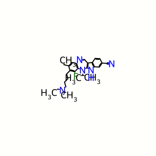 CCc1cc2c(c(F)c1CCCCN(C)CC)N(C(C)C)c1[nH]c3cc(C#N)ccc3c1C=N2